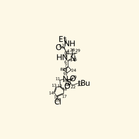 CCNC(=O)[C@@H]1NC(C23CC(N(Cc4ccc(Cl)cc4)S(=O)(=O)CC(C)(C)C)(C2)C3)=NC1(C)C